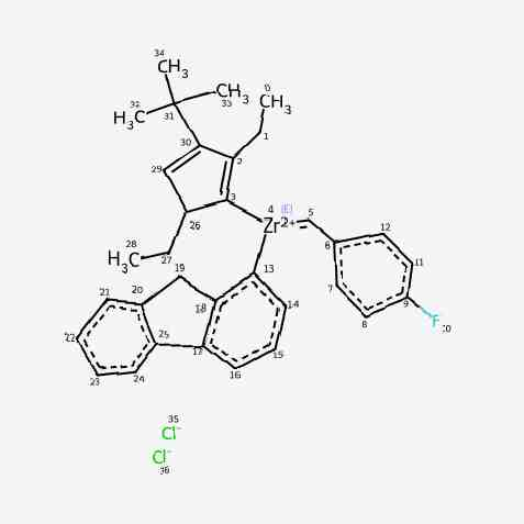 CCC1=[C](/[Zr+2](=[CH]/c2ccc(F)cc2)[c]2cccc3c2Cc2ccccc2-3)C(CC)C=C1C(C)(C)C.[Cl-].[Cl-]